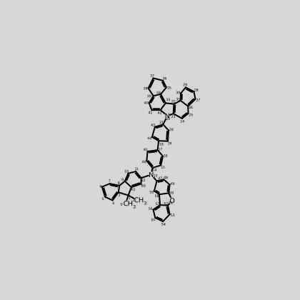 CC1(C)c2ccccc2-c2ccc(N(c3ccc(-c4ccc(-n5c6ccc7ccccc7c6c6c7ccccc7ccc65)cc4)cc3)c3ccc4oc5ccccc5c4c3)cc21